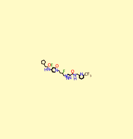 O=C(CC1CCCC1)Nc1ccn(CCC(F)Cn2cc(C(=O)NCc3cccc(C(F)(F)F)n3)nn2)c(=O)c1F